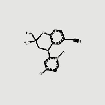 CC1(C)CC(c2cc(Cl)cc[n+]2[O-])c2cc(C#N)ccc2O1